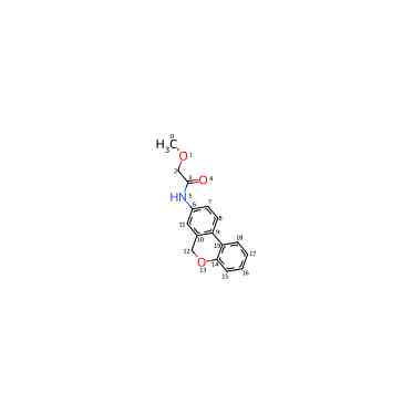 COCC(=O)Nc1ccc2c(c1)COc1ccccc1-2